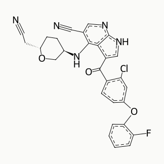 N#CC[C@@H]1CC[C@@H](Nc2c(C#N)cnc3[nH]cc(C(=O)c4ccc(Oc5ccccc5F)cc4Cl)c23)CO1